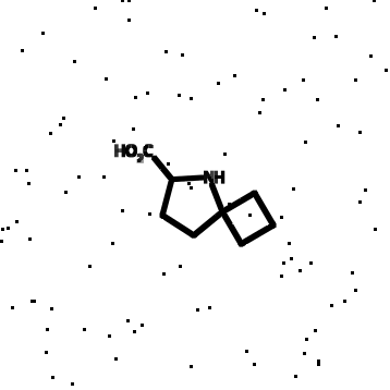 O=C(O)C1CCC2(CCC2)N1